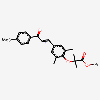 CSc1ccc(C(=O)/C=C/c2cc(C)c(OC(C)(C)C(=O)OC(C)C)c(C)c2)cc1